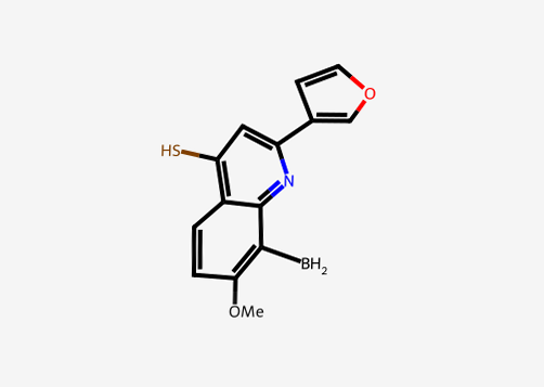 Bc1c(OC)ccc2c(S)cc(-c3ccoc3)nc12